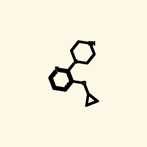 c1cnc(N2CCNCC2)c(OC2CC2)c1